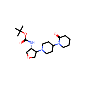 CC(C)(C)OC(=O)N[C@H]1COCC1N1CCC(N2CCCCC2=O)CC1